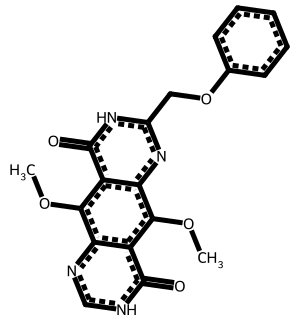 COc1c2nc(COc3ccccc3)[nH]c(=O)c2c(OC)c2nc[nH]c(=O)c12